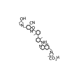 Cc1c(Nc2nccc3cc(CN4CC[C@@](C)(C(=O)O)C4)cnc23)cccc1-c1cccc(-c2nc3cc(CN4CC[C@@H](O)C4)cc(C#N)c3o2)c1C